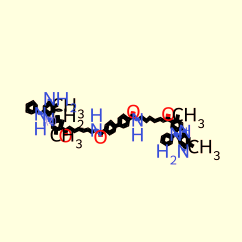 C=C1C=C(C(=O)CCCCCCNC(=O)c2ccc(-c3ccc(C(=O)NCCCCCCC(=O)c4cc5c(cc4C)nc4cc(C)c(N)cc4[n+]5-c4ccccc4)cc3)cc2)C(C)=C/C1=N/c1cc(C)c(N)cc1Nc1ccccc1